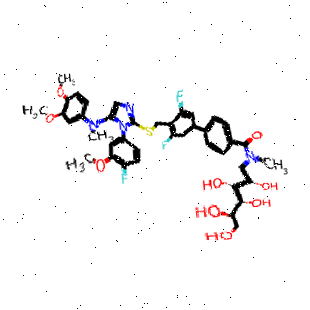 COc1cc(-n2c(N(C)c3ccc(OC)c(OC)c3)cnc2SCc2c(F)cc(-c3ccc(C(=O)N(C)C[C@H](O)[C@@H](O)[C@H](O)[C@H](O)CO)cc3)cc2F)ccc1F